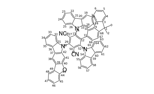 CC1(C)c2ccccc2-c2cc(-c3c(-n4c5ccccc5c5ccccc54)c(C#N)c(-n4c5ccccc5c5cc6c(cc54)oc4ccccc46)c(C#N)c3-n3c4ccccc4c4ccccc43)ccc21